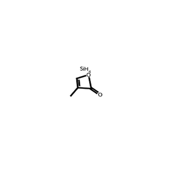 CC1=COC1=O.[SiH4]